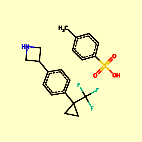 Cc1ccc(S(=O)(=O)O)cc1.FC(F)(F)C1(c2ccc(C3CNC3)cc2)CC1